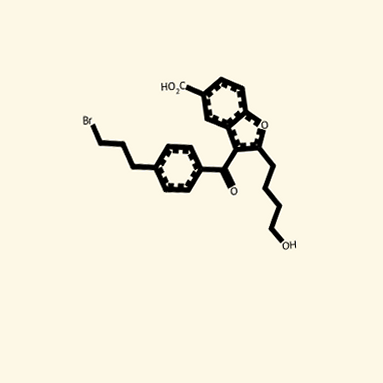 O=C(O)c1ccc2oc(CCCCO)c(C(=O)c3ccc(CCCBr)cc3)c2c1